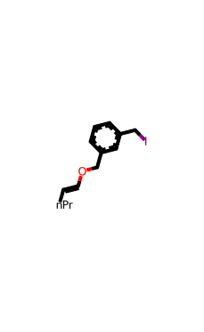 CCCC=COCc1cccc(CI)c1